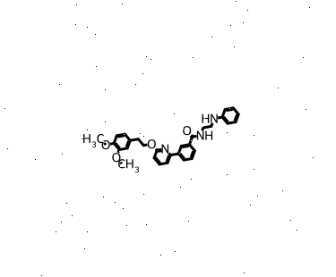 COc1ccc(CCOc2cccc(-c3cccc(C(=O)NCCNc4ccccc4)c3)n2)cc1OC